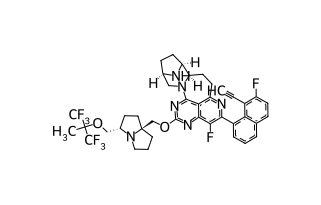 C#Cc1c(F)ccc2cccc(-c3nc4c5c(nc(OC[C@@]67CCCN6[C@H](COC(C)(C(F)(F)F)C(F)(F)F)CC7)nc5c3F)N3C[C@H]5CC[C@H](N5)[C@H]3CC4)c12